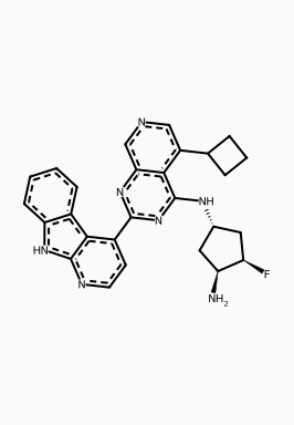 N[C@H]1C[C@H](Nc2nc(-c3ccnc4[nH]c5ccccc5c34)nc3cncc(C4CCC4)c23)C[C@H]1F